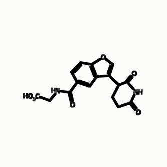 O=C(O)CNC(=O)c1ccc2occ(C3CCC(=O)NC3=O)c2c1